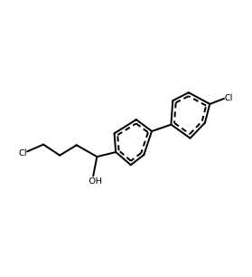 OC(CCCCl)c1ccc(-c2ccc(Cl)cc2)cc1